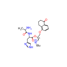 CC(N)C(=O)NC(Cc1c[nH]cn1)C(=O)O[C@H](CNC(C)(C)C)COc1cccc2c1CCCC2=O